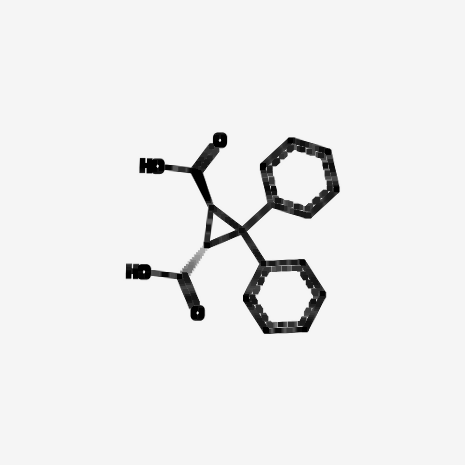 O=C(O)[C@@H]1[C@@H](C(=O)O)C1(c1ccccc1)c1ccccc1